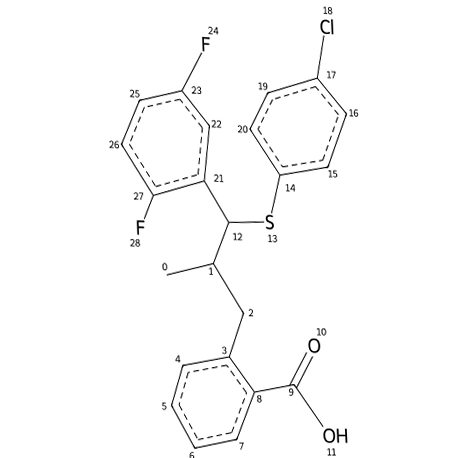 CC(Cc1ccccc1C(=O)O)C(Sc1ccc(Cl)cc1)c1cc(F)ccc1F